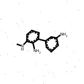 CNc1cccc(-c2cccc(N)c2)c1N